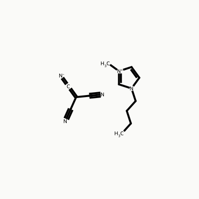 CCCCn1cc[n+](C)c1.N#CC(=C=[N-])C#N